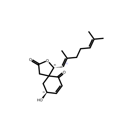 CC(C)=CCC/C(C)=C/[C@H]1OC(=O)CC12C[C@H](O)C=CC2=O